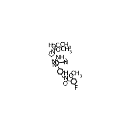 COc1ccc(F)cc1C(=O)NCc1ccc(-c2nn(C[C@@H]3CCN(C(=O)OC(C)(C)C)C3)c(N)c2C#N)cc1